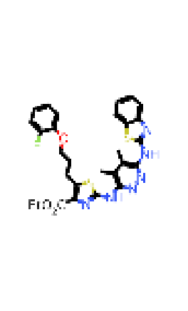 CCOC(=O)c1nc(Nc2nnc(Nc3nc4ccccc4s3)c(C)c2C)sc1CCCOc1ccccc1F